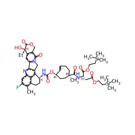 CC[C@@]1(O)C(=O)OCc2c1cc1n(c2=O)Cc2c-1nc1cc(F)c(C)c3c1c2[C@@H](NC(=O)O[C@H]1/C=C/CC[C@@](C)(C(=O)N[C@@H](CC(=O)OCC[Si](C)(C)C)C(=O)OCC[Si](C)(C)C)CC1)CC3